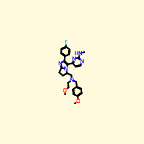 CNc1nccc(-c2c(-c3ccc(F)cc3)nc3n2C(CN(CCOC)Cc2ccc(OC)cc2)CC3)n1